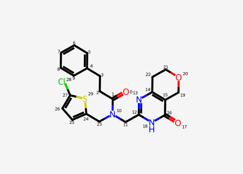 O=C(CCc1ccccc1)N(Cc1nc2c(c(=O)[nH]1)COCC2)Cc1ccc(Cl)s1